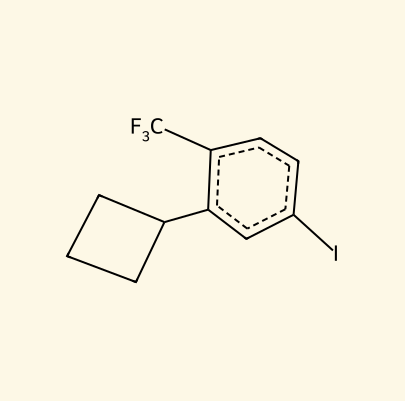 FC(F)(F)c1ccc(I)cc1C1CCC1